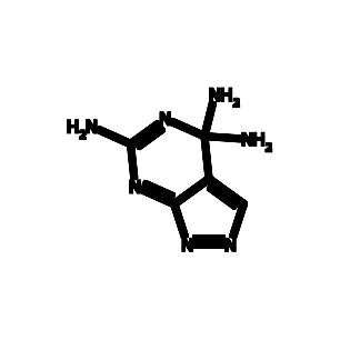 NC1=NC(N)(N)C2=CN=NC2=N1